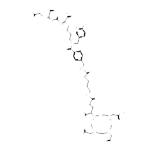 CC(=O)CC[C@@H](NC(=O)N[C@H](CCCCN(Cc1ccc(Br)nc1)C(=O)c1ccc(CNC(=O)CCCCNC(=O)CCC(C(=O)O)N2CCN(CC(=O)O)CCN(CC(=O)O)CCN(CC(=O)O)CC2)cc1)C(=O)O)C(=O)O